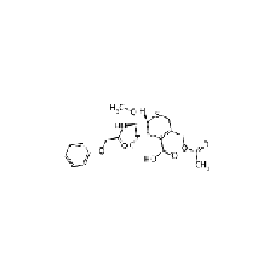 CO[C@@]1(NC(=O)COc2ccccc2)C(=O)N2C(C(=O)O)=C(COC(C)=O)CS[C@H]21